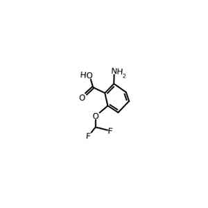 Nc1cccc(OC(F)F)c1C(=O)O